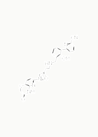 N#Cc1cccc(-c2cccc(CNCCC34CN(c5ccc6c(n5)NC(=O)CS6)C(O3)O4)c2O)n1